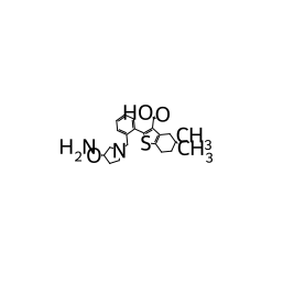 CC1(C)CCc2sc(-c3ccccc3CN3CC[C@@H](ON)C3)c(C(=O)O)c2C1